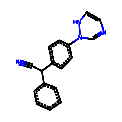 N#CC(c1ccccc1)c1ccc(N2C=NC=CN2)cc1